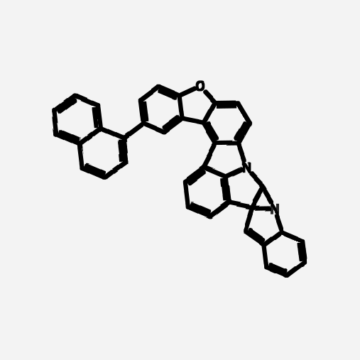 C1=CC2=CC34c5cccc6c7c8c(ccc7n(c56)C3N4C2C=C1)oc1ccc(-c2cccc3ccccc23)cc18